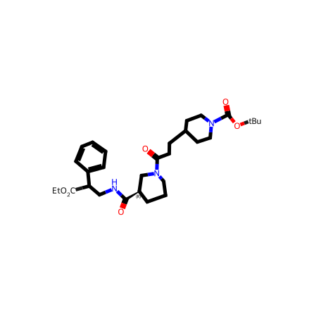 CCOC(=O)C(CNC(=O)[C@@H]1CCCN(C(=O)CCC2CCN(C(=O)OC(C)(C)C)CC2)C1)c1ccccc1